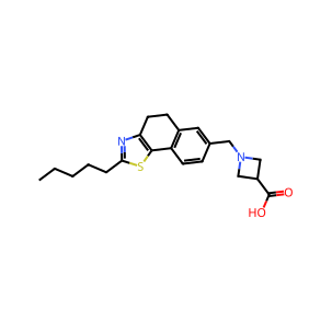 CCCCCc1nc2c(s1)-c1ccc(CN3CC(C(=O)O)C3)cc1CC2